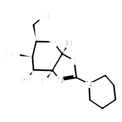 OC[C@H]1O[C@@H]2SC(N3CCCCC3)=N[C@@H]2[C@@H](O)[C@H]1O